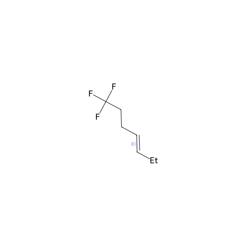 CC/C=C/CCC(F)(F)F